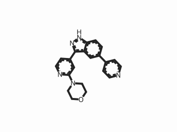 c1cc(-c2ccc3[nH]nc(-c4ccnc(N5CCOCC5)c4)c3c2)ccn1